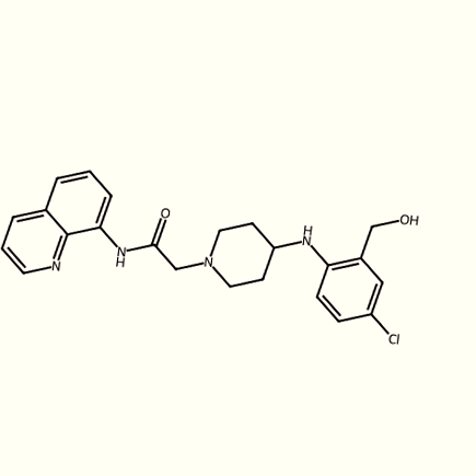 O=C(CN1CCC(Nc2ccc(Cl)cc2CO)CC1)Nc1cccc2cccnc12